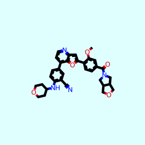 COc1cc(C(=O)N2CC3COCC3C2)ccc1-c1cc2nccc(-c3ccc(NC4CCOCC4)c(C#N)c3)c2o1